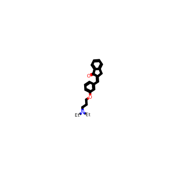 CCN(CC)CCCOc1cccc(C=C2Cc3ccccc3C2=O)c1